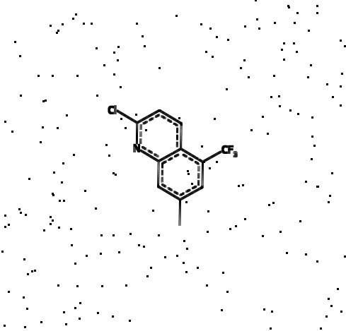 Cc1cc(C(F)(F)F)c2ccc(Cl)nc2c1